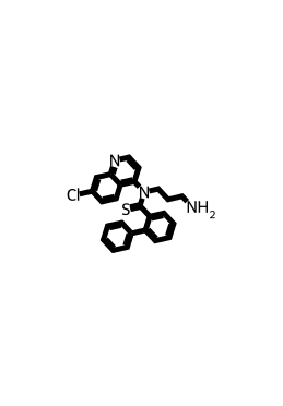 NCCCN(C(=S)c1ccccc1-c1ccccc1)c1ccnc2cc(Cl)ccc12